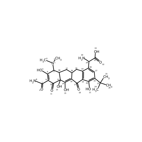 CN(C)C1C(O)=C(C(N)=O)C(=O)C2(O)C(O)=C3C(=O)c4c(O)c(C(C)(C)C)cc(C(N)C(=O)O)c4CC3CC12